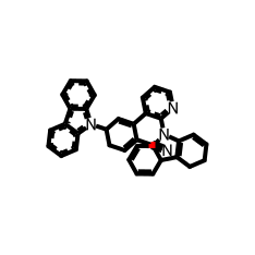 N#CC1=CCC(n2c3ccccc3c3ccccc32)C=C1c1cccnc1N1C2=C(CCC=C2)C2C=CC=CC21